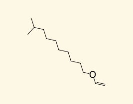 C=COCCCCCCCCC(C)C